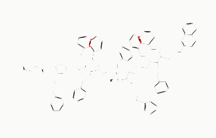 CC(=O)CCC(=O)O[C@@H]1C[C@H](OCC(OCc2ccccc2)C(OCc2ccccc2)C(COP(=O)(OCc2ccccc2)OC2C[C@H](OCC(OCc3ccccc3)C(OCc3ccccc3)C(COCc3ccc4ccccc4c3)OCc3ccccc3)O[C@@H]2COCc2ccccc2)OCc2ccccc2)O[C@@H]1COCc1ccccc1